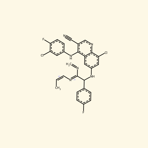 C=N/C(=N\C=C/C)C(Nc1cc(Cl)c2ncc(C#N)c(Nc3ccc(F)c(Cl)c3)c2c1)c1ccc(F)cc1